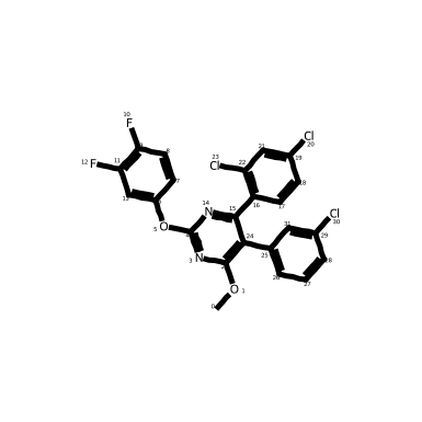 COc1nc(Oc2ccc(F)c(F)c2)nc(-c2ccc(Cl)cc2Cl)c1-c1cccc(Cl)c1